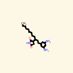 CCCCCCCCCC(CCc1cc(N)cc(N)c1)C1CC(=O)NC1=O